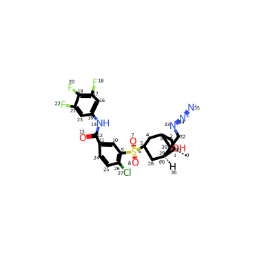 C[C@H]1CC2CC(S(=O)(=O)c3cc(C(=O)Nc4cc(F)c(F)c(F)c4)ccc3Cl)C[C@H]1[C@]2(O)CN=[N+]=[N-]